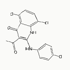 CC(=O)c1c(Nc2ccc(Cl)cc2)[nH]c2c(Cl)ccc(Cl)c2c1=O